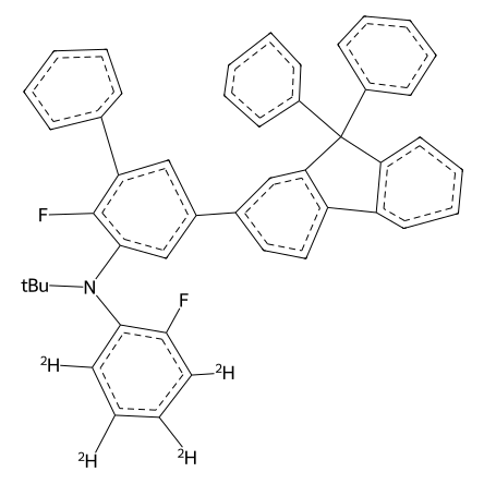 [2H]c1c([2H])c([2H])c(N(c2cc(-c3ccc4c(c3)C(c3ccccc3)(c3ccccc3)c3ccccc3-4)cc(-c3ccccc3)c2F)C(C)(C)C)c(F)c1[2H]